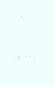 Cc1cc(COc2ccc(C(=O)NC3(CC(=O)NO)CC[CH]CC3)cc2)c2ccccc2n1